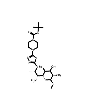 CSC1C[C@H]([C@H](N)[C@H](C)Sc2nnc(N3CCN(C(=O)OC(C)(C)C)CC3)s2)C(O)C(O)[C@H]1O